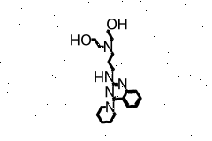 OCCN(CCO)CCCNc1nc(N2CCCCC2)c2ccccc2n1